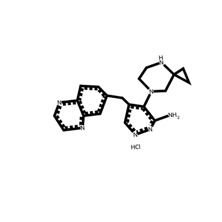 Cl.Nc1nncc(Cc2ccc3nccnc3c2)c1N1CCNC2(CC2)C1